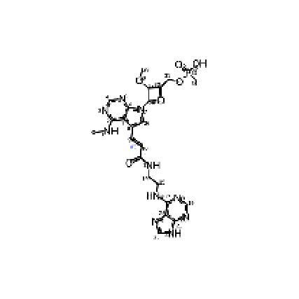 CNc1ncnc2c1c(/C=C/C(=O)NCCNc1ncnc3[nH]cnc13)cn2C1OC(COP(C)(=O)O)C1OC